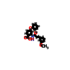 COc1cccc(C=CC(=O)Nc2cc(Oc3ccccc3)ccc2C(=O)O)c1